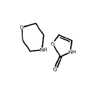 C1COCCN1.O=c1[nH]cco1